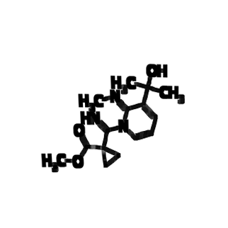 C/N=c1/c(C(C)(C)O)cccn1C(=N)C1(C(=O)OC)CC1